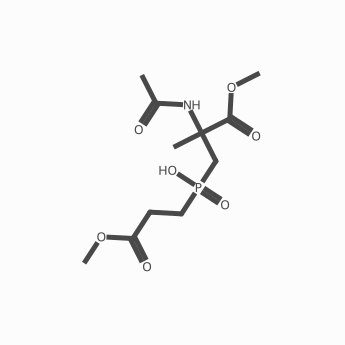 COC(=O)CCP(=O)(O)CC(C)(NC(C)=O)C(=O)OC